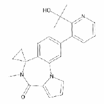 CN1C(=O)c2cccn2-c2cc(-c3cccnc3C(C)(C)O)ccc2C12CC2